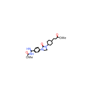 COC(=O)CCC1CCC(N2CCN(c3ccc(C(=N)NC(=O)OC)cc3)C2=O)CC1